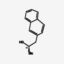 CC(C)(C)[C@@H](O)Cc1ccc2ccccc2c1